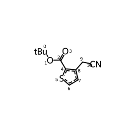 CC(C)(C)OC(=O)c1sccc1CC#N